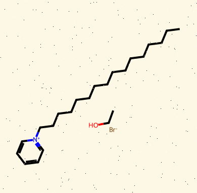 CCCCCCCCCCCCCCCC[n+]1ccccc1.CCO.[Br-]